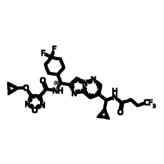 O=C(CCC(F)(F)F)NC(c1cnn2cc([C@@H](NC(=O)c3nonc3OC3CC3)C3CCC(F)(F)CC3)nc2c1)C1CC1